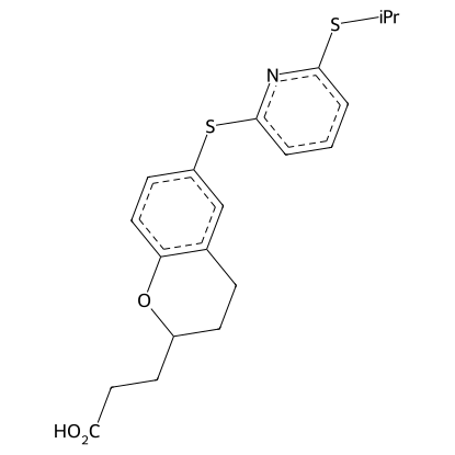 CC(C)Sc1cccc(Sc2ccc3c(c2)CCC(CCC(=O)O)O3)n1